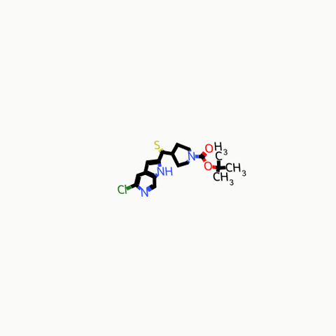 CC(C)(C)OC(=O)N1CCC(C(=S)c2cc3cc(Cl)ncc3[nH]2)CC1